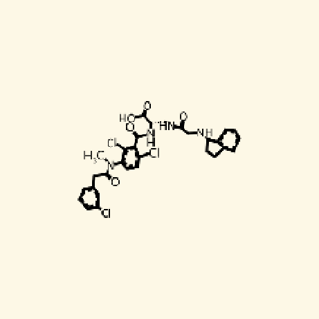 CN(C(=O)Cc1cccc(Cl)c1)c1ccc(Cl)c(C(=O)N[C@@H](CNC(=O)CN[C@@H]2CCc3ccccc32)C(=O)O)c1Cl